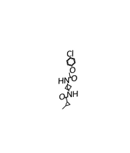 CC1CC1C(=O)NC12CC(NC(=O)COc3ccc(Cl)cc3)(C1)C2